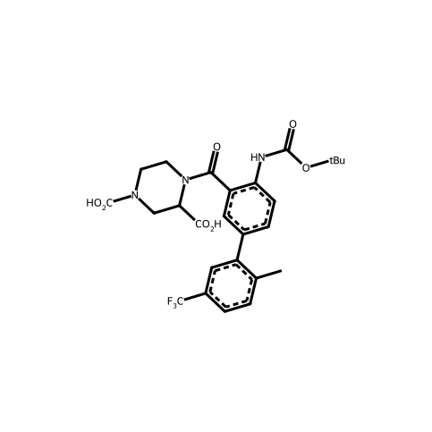 Cc1ccc(C(F)(F)F)cc1-c1ccc(NC(=O)OC(C)(C)C)c(C(=O)N2CCN(C(=O)O)CC2C(=O)O)c1